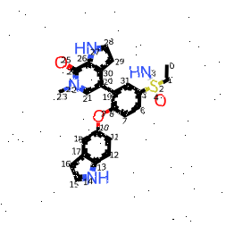 CCS(=N)(=O)c1ccc(Oc2ccc3[nH]ccc3c2)c(-c2cn(C)c(=O)c3[nH]ccc23)c1